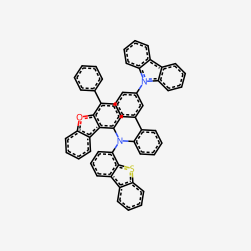 c1ccc(-c2ccc(N(c3ccccc3-c3cccc(-n4c5ccccc5c5ccccc54)c3)c3cccc4c3sc3ccccc34)c3c2oc2ccccc23)cc1